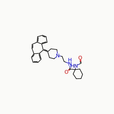 O=CNC1(C(=O)NCCN2CCC(=C3c4ccccc4C=Cc4ccccc43)CC2)CCCCC1